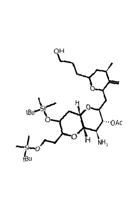 C=C1C(CC2O[C@H]3CC(O[Si](C)(C)C(C)(C)C)C(CCO[Si](C)(C)C(C)(C)C)O[C@H]3[C@H](N)[C@H]2OC(C)=O)OC(CCCO)C[C@H]1C